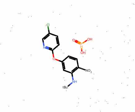 CC(C)(C)Nc1cc(Oc2ccc(Cl)cn2)ccc1[N+](=O)[O-].O=[PH](O)O